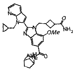 COc1cc(C(=O)N2CC3CCC2[C@@H]3N)cc2nc(-c3cc4cccnc4n3CC3CC3)n(CC3CC(C(N)=O)C3)c12